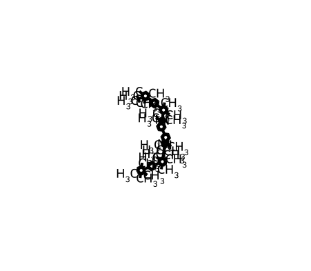 Cc1cc(C)c(-c2ccc(-c3c(C)cc(C)c(C(C)(C)C(C)(C)c4n(C)c5ccc(-c6ccc7c(c6)n(C)c(-c6c(C)cc(C)c(-c8ccc(-c9c(C)cc(C)c(C(C)(C)C)c9C)cc8)c6C)[n+]7C)cc5[n+]4C)c3C)cc2)c(C)c1C